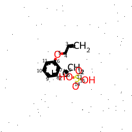 C=C.C=CCOc1ccccc1.O=S(=O)(O)O